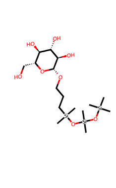 C[Si](C)(C)O[Si](C)(C)O[Si](C)(C)CCCO[C@@H]1O[C@H](CO)[C@@H](O)[C@H](O)[C@H]1O